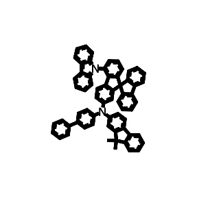 CC1(C)c2ccccc2-c2ccc(N(c3ccc(-c4ccccc4)cc3)c3ccc4c(c3)C3(c5ccccc5-c5ccccc53)c3cccc(-n5c6ccccc6c6ccccc65)c3-4)cc21